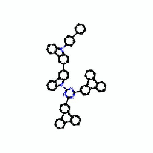 c1ccc(-c2ccc(-n3c4ccccc4c4cc(-c5ccc6c(c5)c5ccccc5n6-c5nc(-c6ccc7c8ccccc8c8ccccc8c7c6)nc(-c6ccc7c8ccccc8c8ccccc8c7c6)n5)ccc43)cc2)cc1